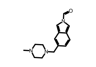 CN1CCN(Cc2ccc3cn(C=O)cc3c2)CC1